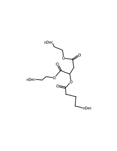 CCCCCCCCCCCCCC(=O)OC(CC(=O)OCCCCCCCCCCCC)C(=O)OCCCCCCCCCCCC